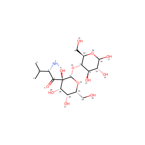 CC(C)[C@H](N)C(=O)[C@]1(O)[C@H](O[C@H]2[C@H](O)[C@@H](O)C(O)O[C@@H]2CO)O[C@H](CO)[C@H](O)[C@@H]1O